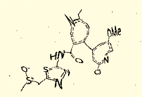 COc1cnc(Cl)cc1-c1cc(C)ncc1C(=O)Nc1nnc(C[S+](C)[O-])s1